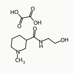 CN1CCCC(C(=O)NCCO)C1.O=C(O)C(=O)O